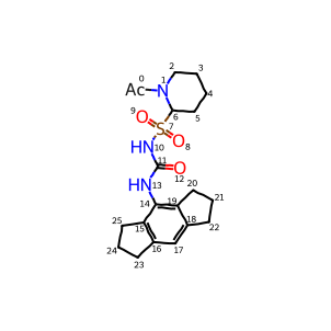 CC(=O)N1CCCCC1S(=O)(=O)NC(=O)Nc1c2c(cc3c1CCC3)CCC2